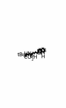 CC(C)(C)C(CCNC(=O)CCCCc1ccc2c(n1)NCCC2)C(=O)O